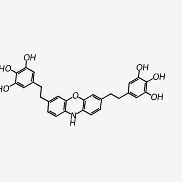 Oc1cc(CCc2ccc3c(c2)Oc2cc(CCc4cc(O)c(O)c(O)c4)ccc2N3)cc(O)c1O